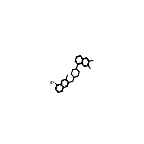 Cc1cc2cccc(C3CCC(Cc4cc5cccc(C(C)(C)C)c5cc4I)CC3)c2cc1I